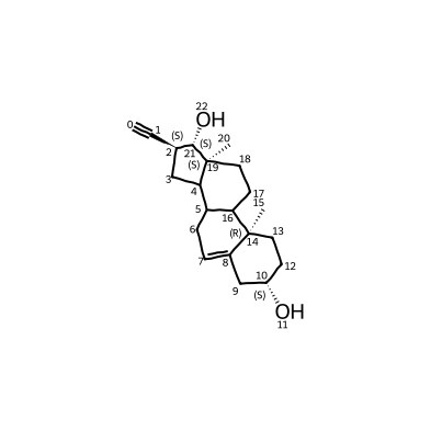 C#C[C@@H]1CC2C3CC=C4C[C@@H](O)CC[C@]4(C)C3CC[C@]2(C)[C@H]1O